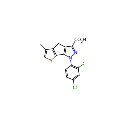 Cc1csc2c1Cc1c(C(=O)O)nn(-c3ccc(Cl)cc3Cl)c1-2